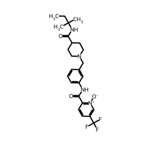 CCC(C)(C)NC(=O)C1CCN(Cc2cccc(NC(=O)c3ccc(C(F)(F)F)c[n+]3[O-])c2)CC1